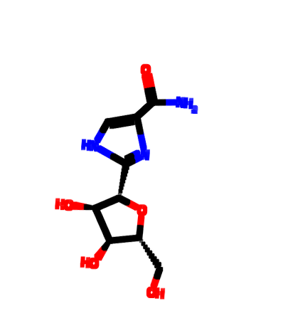 NC(=O)c1c[nH]c([C@@H]2O[C@H](CO)[C@@H](O)[C@H]2O)n1